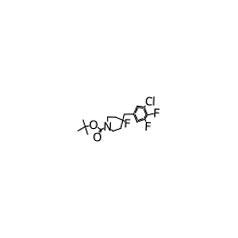 CC(C)(C)OC(=O)N1CCC(F)(Cc2cc(F)c(F)c(Cl)c2)CC1